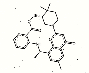 Cc1cc([C@@H](C)Nc2ccccc2C(=O)OC(C)(C)C)c2oc(N3CCC(C)(C)CC3)cc(=O)c2c1